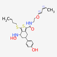 C=CCCSc1sc(C(=O)NCCO/C=C/C=C\C)c2c1C(NO)CC(c1ccc(O)cc1)C2